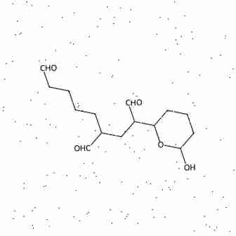 O=CCCCCC(C=O)CC(C=O)C1CCCC(O)O1